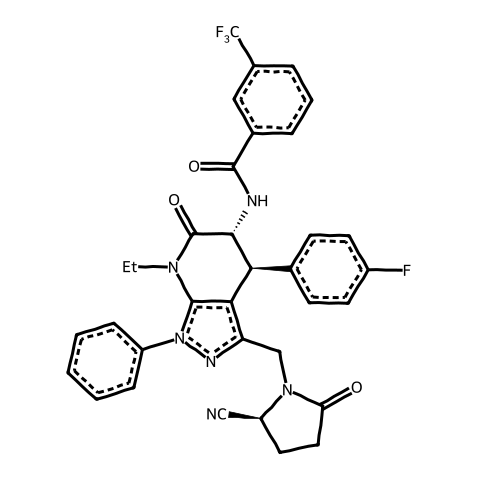 CCN1C(=O)[C@H](NC(=O)c2cccc(C(F)(F)F)c2)[C@@H](c2ccc(F)cc2)c2c(CN3C(=O)CC[C@H]3C#N)nn(-c3ccccc3)c21